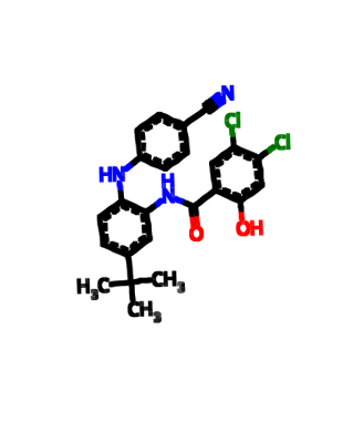 CC(C)(C)c1ccc(Nc2ccc(C#N)cc2)c(NC(=O)c2cc(Cl)c(Cl)cc2O)c1